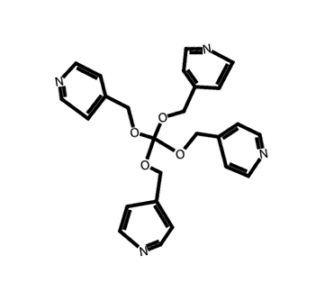 c1cc(COC(OCc2ccncc2)(OCc2ccncc2)OCc2ccncc2)ccn1